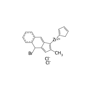 CC1=[C]([Zr+2][C]2=CC=CC2)C2=Cc3ccccc3C(Br)C2=C1.[Cl-].[Cl-]